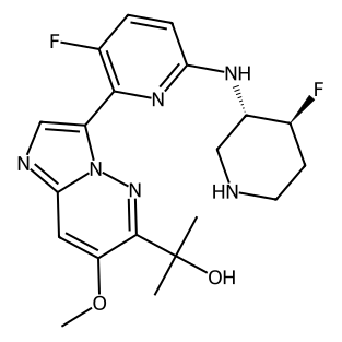 COc1cc2ncc(-c3nc(N[C@H]4CNCC[C@@H]4F)ccc3F)n2nc1C(C)(C)O